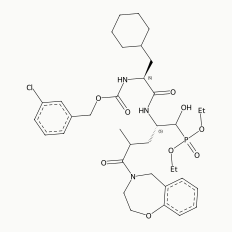 CCOP(=O)(OCC)C(O)[C@H](CC(C)C(=O)N1CCOc2ccccc2C1)NC(=O)[C@H](CC1CCCCC1)NC(=O)OCc1cccc(Cl)c1